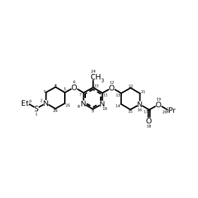 CCSN1CCC(Oc2ncnc(OC3CCN(C(=O)OC(C)C)CC3)c2C)CC1